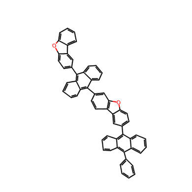 c1ccc(-c2c3ccccc3c(-c3ccc4oc5cc(-c6c7ccccc7c(-c7ccc8oc9ccccc9c8c7)c7ccccc67)ccc5c4c3)c3ccccc23)cc1